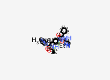 CCn1nccc1C(=O)NC(C(=O)Nc1ccc([C@H](C)[C@@H](NC(=O)C2(F)CC2)C(=O)N2CCN(C)CC2)cc1F)C1CCCCCC1